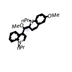 CCCN1/C(=C(\OC)c2cc[n+](CCC)c3ccccc23)C=Cc2cc(OC)ccc21